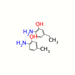 CCc1ccc(N)c(O)c1.Cc1ccc(N)c(O)c1